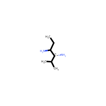 CCC(N)[C@H](N)C(C)C